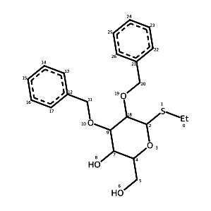 CCSC1OC(CO)C(O)C(OCc2ccccc2)C1OCc1ccccc1